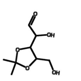 CC1(C)OC(CO)C(C(O)C=O)O1